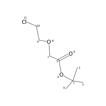 CC(C)(C)OC(=O)COCCCl